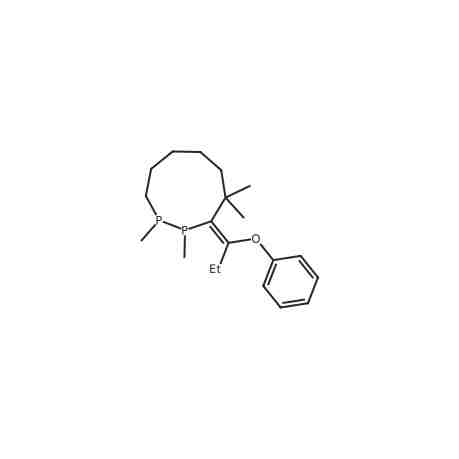 CCC(Oc1ccccc1)=C1P(C)P(C)CCCCCC1(C)C